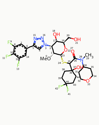 CO[C@@H]1[C@@H](n2cc(-c3cc(F)c(F)c(F)c3)nn2)[C@@H](O)[C@@H](CO)O[C@H]1SC(C(=O)N(C)C1CCOCC1)C1(O)CCC(F)(F)CC1